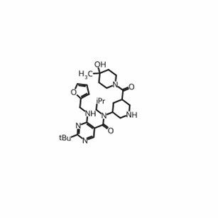 CC(C)CN(C(=O)c1cnc(C(C)(C)C)nc1NCc1ccco1)C1CNCC(C(=O)N2CCC(C)(O)CC2)C1